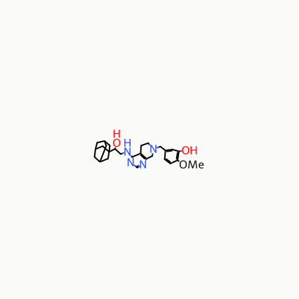 COc1ccc(CN2CCc3c(ncnc3NCC(O)C34CC5CC(CC(C5)C3)C4)C2)cc1O